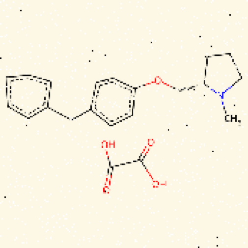 CN1CCC[C@H]1COc1ccc(Cc2ccccc2)cc1.O=C(O)C(=O)O